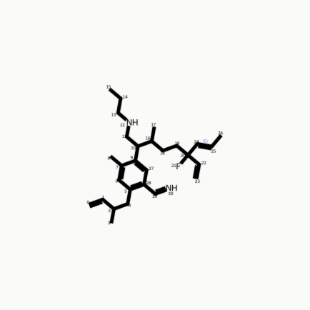 C=CC(C)Cc1cc(C)c(C(CNCCC)C(C)CCC(F)(C=C)/C=C/C)cc1C=N